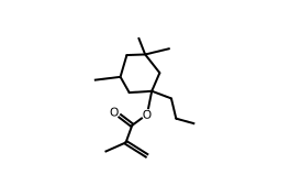 C=C(C)C(=O)OC1(CCC)CC(C)CC(C)(C)C1